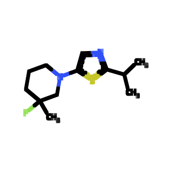 CC(C)c1ncc(N2CCCC(C)(F)C2)s1